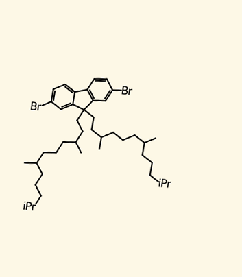 CC(C)CCCC(C)CCCC(C)CCC1(CCC(C)CCCC(C)CCCC(C)C)c2cc(Br)ccc2-c2ccc(Br)cc21